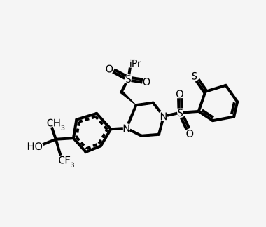 CC(C)S(=O)(=O)C[C@H]1CN(S(=O)(=O)C2=CC=CCC2=S)CCN1c1ccc(C(C)(O)C(F)(F)F)cc1